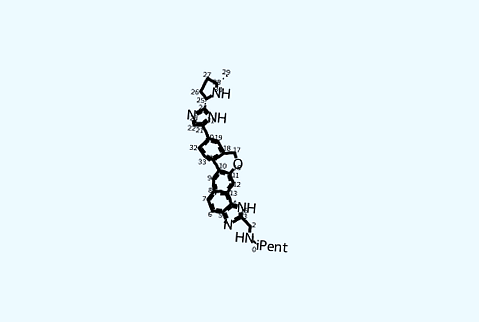 CCC[C@H](C)NCc1nc2ccc3cc4c(cc3c2[nH]1)OCc1cc(-c2cnc([C@@H]3CC[C@H](C)N3)[nH]2)ccc1-4